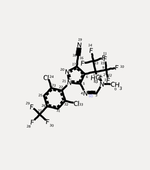 CN(C)/C=N\c1c(C(Cl)(C(F)(F)F)C(F)(F)F)c(C#N)nn1-c1c(Cl)cc(C(F)(F)F)cc1Cl